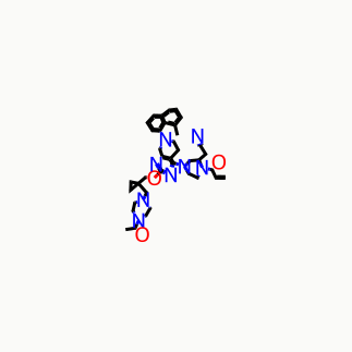 C=CC(=O)N1CCN(c2nc(OCC3(CN4CCN(C(C)=O)CC4)CC3)nc3c2CCN(c2cccc4cccc(C)c24)C3)CC1CC#N